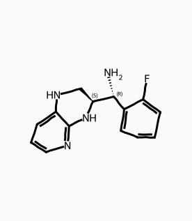 N[C@H](c1ccccc1F)[C@@H]1CNc2cccnc2N1